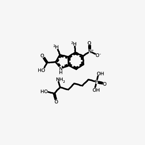 NC(CCCCP(=O)(O)O)C(=O)O.[2H]c1c([N+](=O)[O-])ccc2[nH]c(C(=O)O)c([2H])c12